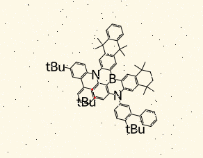 CC(C)(C)c1ccc(N2c3cc4c(cc3B3c5cc6c(cc5N(c5ccc(C(C)(C)C)c(-c7ccccc7)c5)c5cc(C(C)(C)C)cc2c53)C(C)(C)CCC6(C)C)C(C)(C)c2ccccc2C4(C)C)c(-c2ccccc2)c1